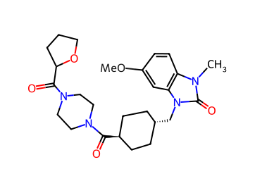 COc1ccc2c(c1)n(C[C@H]1CC[C@H](C(=O)N3CCN(C(=O)C4CCCO4)CC3)CC1)c(=O)n2C